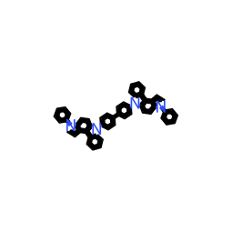 c1ccc(-n2ccc3c4c5ccccc5n(-c5ccc(-c6ccc(-n7c8ccccc8c8c9ccn(-c%10ccccc%10)c9ccc87)cc6)cc5)c4ccc32)cc1